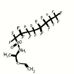 C=COC(C)NS(=O)(=O)C(F)(F)C(F)(F)C(F)(F)C(F)(F)C(F)(F)C(F)(F)C(F)(F)C(F)(F)F